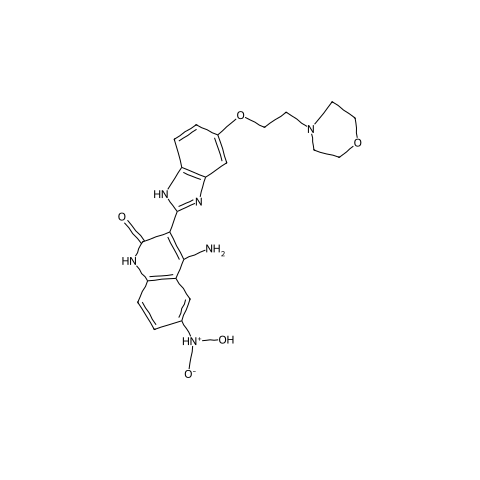 Nc1c(-c2nc3cc(OCCN4CCOCC4)ccc3[nH]2)c(=O)[nH]c2ccc([NH+]([O-])O)cc12